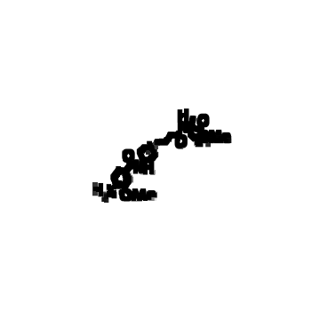 COC(=O)C(C)(CC(C)C)NC(=O)CCCN1CCC(NC(=O)c2ccc(N)c(OC)c2)CC1